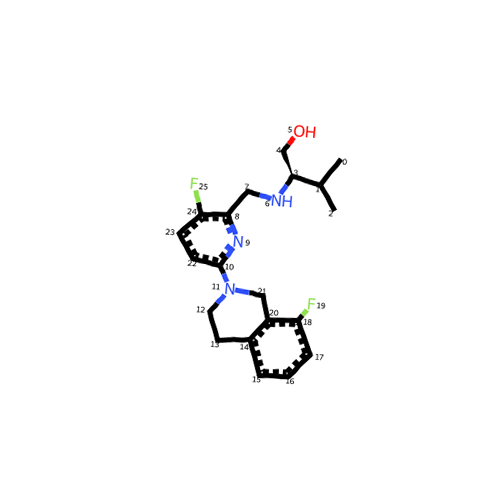 CC(C)[C@H](CO)NCc1nc(N2CCc3cccc(F)c3C2)ccc1F